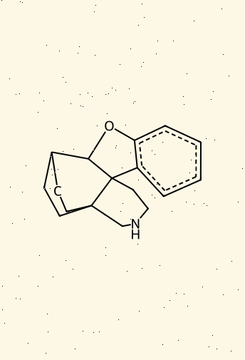 c1ccc2c(c1)OC1C3CCC4(CC3)CNCCC214